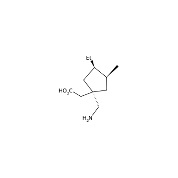 CC[C@@H]1C[C@](CN)(CC(=O)O)C[C@@H]1C